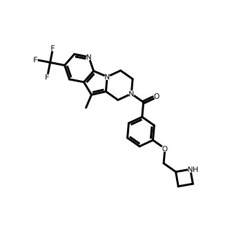 Cc1c2n(c3ncc(C(F)(F)F)cc13)CCN(C(=O)c1cccc(OCC3CCN3)c1)C2